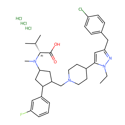 CCn1nc(Cc2ccc(Cl)cc2)cc1C1CCN(CC2CC(N(C)[C@@H](C(=O)O)C(C)C)CC2c2cccc(F)c2)CC1.Cl.Cl.Cl